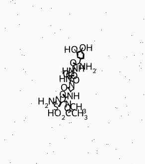 CC(C)(ON=C(C(=O)N[C@H]1CN(C(=O)NS(=O)(=O)NNC(=O)C(N)c2ccc(O)c(O)c2)C1=O)c1csc(N)n1)C(=O)O